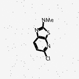 CNc1nc2ccc(Cl)nc2s1